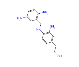 Nc1ccc(N)c(CNc2ccc(CCO)cc2N)c1